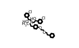 C[C@@H](Cc1ccc(OCCOCCc2ccccc2)cc1)N(C[C@H](O)c1cccc(Cl)c1)C[C@H](O)c1cccc(Cl)c1